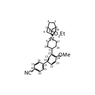 CCOC(=O)N1C2CCC1CC(N1CCC(c3cc(-c4ccc(C#N)cc4)ccc3OC)CC1)C2